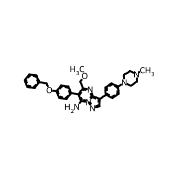 COCc1nc2c(-c3ccc(N4CCN(C)CC4)cc3)cnn2c(N)c1-c1ccc(OCc2ccccc2)cc1